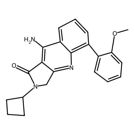 COc1ccccc1-c1cccc2c(N)c3c(nc12)CN(C1CCC1)C3=O